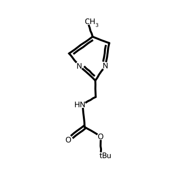 Cc1cnc(CNC(=O)OC(C)(C)C)nc1